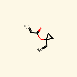 C=CC(=O)OC1(C=C)CC1